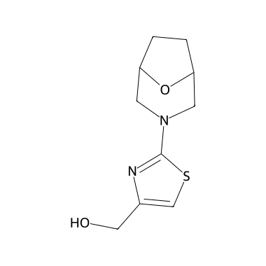 OCc1csc(N2CC3CCC(C2)O3)n1